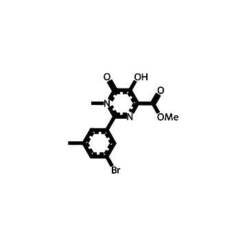 COC(=O)c1nc(-c2cc(C)cc(Br)c2)n(C)c(=O)c1O